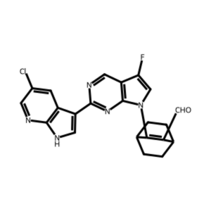 O=CC1=C(n2cc(F)c3cnc(-c4c[nH]c5ncc(Cl)cc45)nc32)C2CCC1CC2